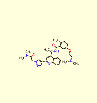 Cc1ccc(OCCN(C)C)cc1C(=O)N[C@H](C)c1cc(-c2cnn(CC(=O)N(C)C)c2)nc2ccccc12